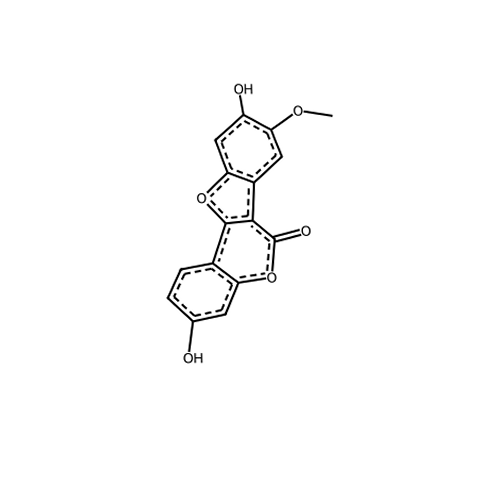 COc1cc2c(cc1O)oc1c3ccc(O)cc3oc(=O)c21